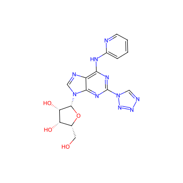 OC[C@H]1O[C@@H](n2cnc3c(Nc4ccccn4)nc(-n4cnnn4)nc32)[C@@H](O)[C@H]1O